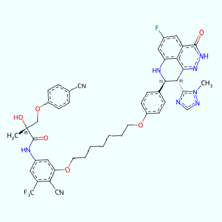 Cn1ncnc1[C@H]1c2n[nH]c(=O)c3cc(F)cc(c23)N[C@@H]1c1ccc(OCCCCCCCOc2cc(NC(=O)[C@](C)(O)COc3ccc(C#N)cc3)cc(C(F)(F)F)c2C#N)cc1